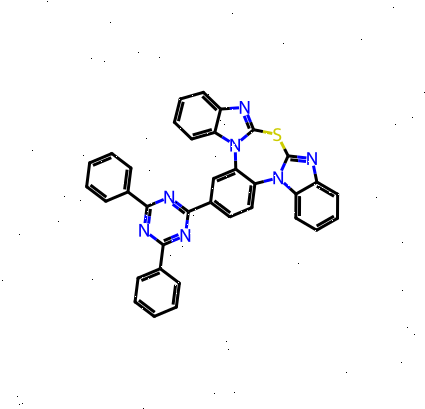 c1ccc(-c2nc(-c3ccccc3)nc(-c3ccc4c(c3)n3c(nc5ccccc53)sc3nc5ccccc5n34)n2)cc1